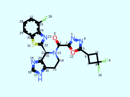 O=C(c1nnc(C2CC(F)(F)C2)o1)N1CCc2[nH]cnc2[C@H]1c1nc2c(F)cccc2s1